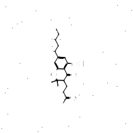 CCCCCc1cc(O)c2c(c1)OC(C)(C)C(CCC(C)=O)C2=O